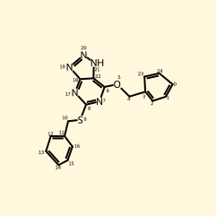 c1ccc(COc2nc(SCc3ccccc3)nc3nn[nH]c23)cc1